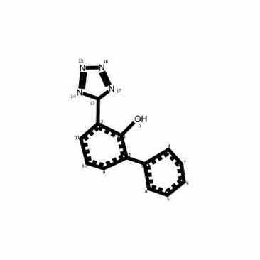 Oc1c(-c2ccccc2)cccc1C1N=NN=N1